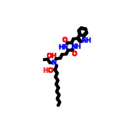 CCCCCCCCCCC(O)CN(CCCCC1NC(=O)C(Cc2c[nH]c3ccccc23)NC1=O)CC(C)O